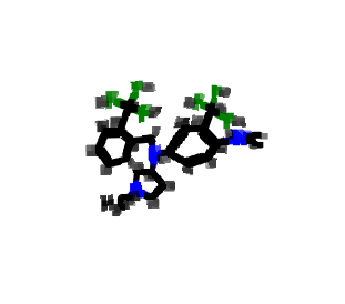 [C-]#[N+]c1ccc(N(Cc2ccccc2C(F)(F)F)[C@H]2CCN(C)C2)cc1C(F)(F)F